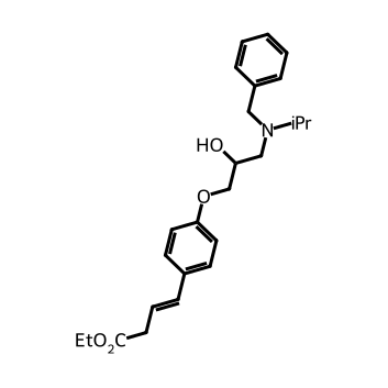 CCOC(=O)CC=Cc1ccc(OCC(O)CN(Cc2ccccc2)C(C)C)cc1